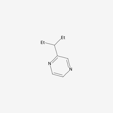 CCC(CC)c1cnccn1